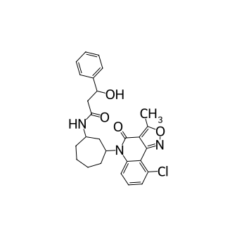 Cc1onc2c1c(=O)n(C1CCCCC(NC(=O)CC(O)c3ccccc3)C1)c1cccc(Cl)c21